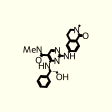 CNC(=O)c1cnc(Nc2ccc3c(c2)CCN(C)C3=O)nc1N[C@H](CO)c1ccccc1